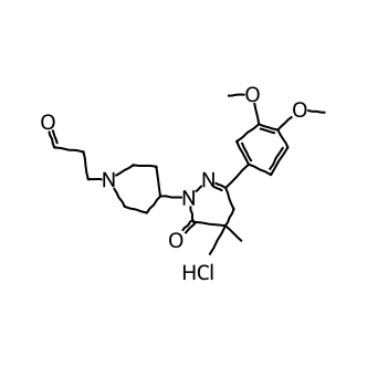 COc1ccc(C2=NN(C3CCN(CCC=O)CC3)C(=O)C(C)(C)C2)cc1OC.Cl